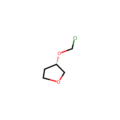 ClCO[C@H]1CCOC1